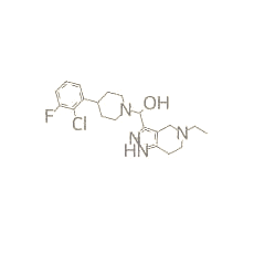 CCN1CCc2[nH]nc(C(O)N3CCC(c4cccc(F)c4Cl)CC3)c2C1